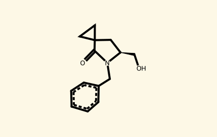 O=C1N(Cc2ccccc2)[C@H](CO)CC12CC2